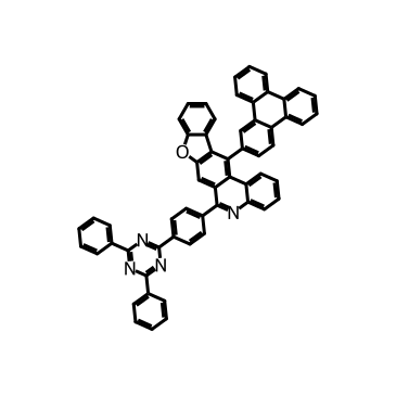 c1ccc(-c2nc(-c3ccccc3)nc(-c3ccc(-c4nc5ccccc5c5c(-c6ccc7c8ccccc8c8ccccc8c7c6)c6c(cc45)oc4ccccc46)cc3)n2)cc1